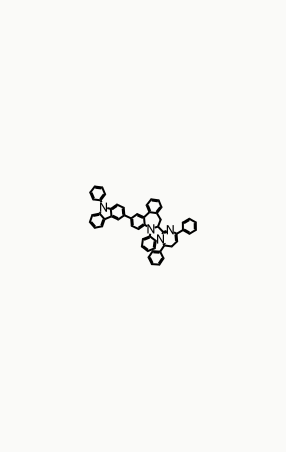 C1=C(c2ccccc2)N=C(C2Cc3ccccc3-c3cc(-c4ccc5c(c4)c4ccccc4n5-c4ccccc4)ccc3N2c2ccccc2)N=C(c2ccccc2)C1